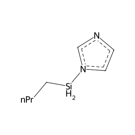 CCCC[SiH2]n1ccnc1